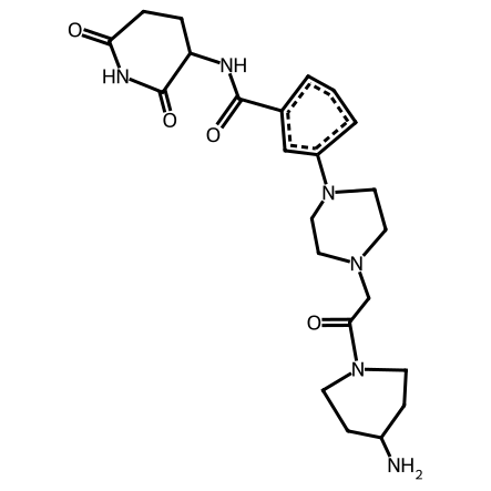 NC1CCN(C(=O)CN2CCN(c3cccc(C(=O)NC4CCC(=O)NC4=O)c3)CC2)CC1